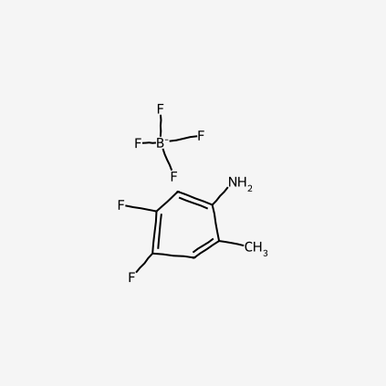 Cc1cc(F)c(F)cc1N.F[B-](F)(F)F